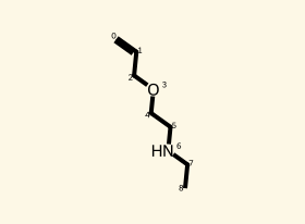 C=CCOCCNCC